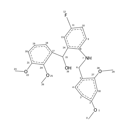 COc1ccc(CNc2ccc(F)cc2C(O)c2cccc(OC)c2OC)c(OC)c1